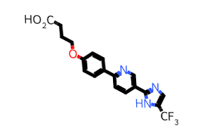 O=C(O)CCCOc1ccc(-c2ccc(-c3ncc(C(F)(F)F)[nH]3)cn2)cc1